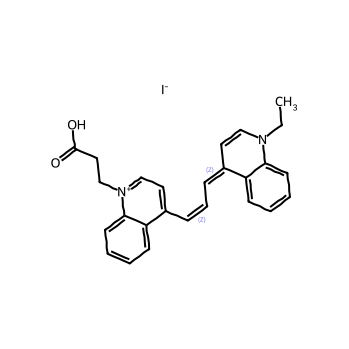 CCN1C=C/C(=C/C=C\c2cc[n+](CCC(=O)O)c3ccccc23)c2ccccc21.[I-]